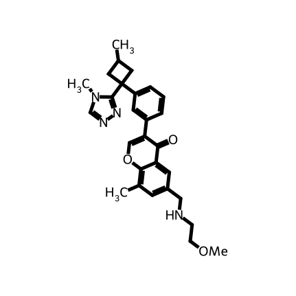 COCCNCc1cc(C)c2occ(-c3cccc(C4(c5nncn5C)CC(C)C4)c3)c(=O)c2c1